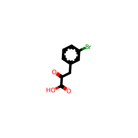 O=C(O)C(=O)Cc1cccc(Br)c1